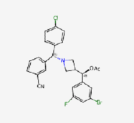 CC(=O)O[C@@H](c1cc(F)cc(Br)c1)C1CN([C@@H](c2ccc(Cl)cc2)c2cccc(C#N)c2)C1